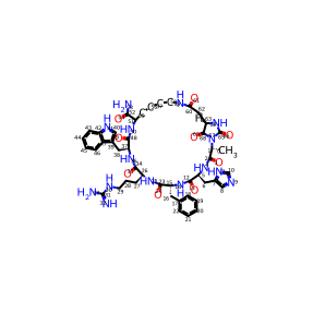 C[C@@H]1C(=O)N[C@@H](Cc2cnc[nH]2)C(=O)N[C@H](Cc2ccccc2)C(=O)N[C@@H](CCCNC(=N)N)C(=O)N[C@@H](Cc2c[nH]c3ccccc23)C(=O)NC(C(N)=O)CCCCNC(=O)C[C@@H]2NC(=O)N1C2=O